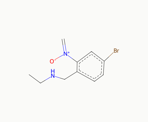 C=[N+]([O-])c1cc(Br)ccc1CNCC